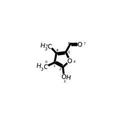 Cc1c(O)oc(C=O)c1C